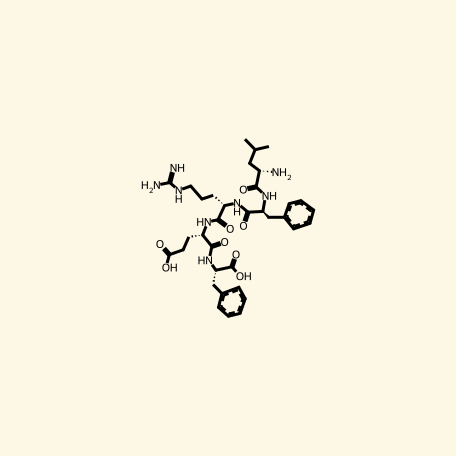 CC(C)C[C@H](N)C(=O)N[C@@H](Cc1ccccc1)C(=O)N[C@@H](CCCNC(=N)N)C(=O)N[C@@H](CCC(=O)O)C(=O)N[C@@H](Cc1ccccc1)C(=O)O